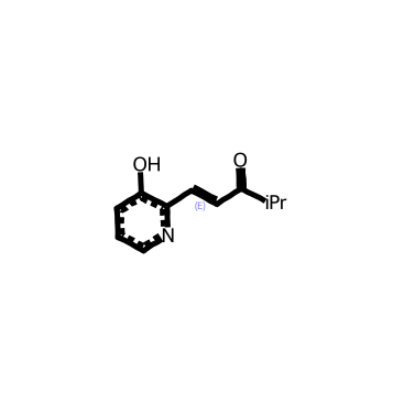 CC(C)C(=O)/C=C/c1ncccc1O